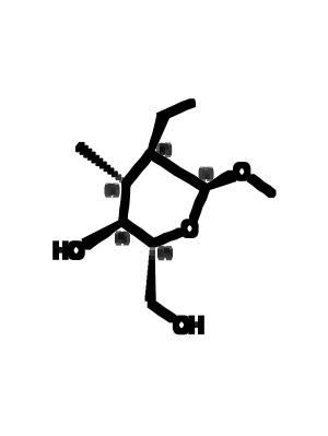 CC[C@H]1[C@@H](OC)O[C@H](CO)[C@@H](O)[C@@H]1C